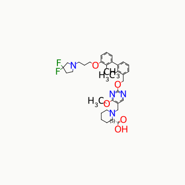 COc1nc(OCc2cccc(-c3cccc(OCCCN4CCC(F)(F)C4)c3C)c2C)ncc1CN1CCCC[C@H]1C(=O)O